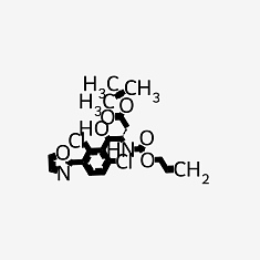 C=CCOC(=O)N[C@@H](CC(=O)OC(C)(C)C)C(O)c1c(Cl)ccc(-c2ncco2)c1Cl